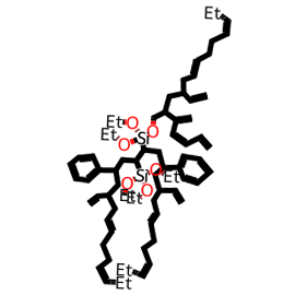 C=C/C=C\C(=C)C(CO[Si](OCC)(OCC)C(CC(CC(C=C)C/C=C/CC/C=C\CC)c1ccccc1)C(CC(CC(C=C)C/C=C/CC/C=C\CC)c1ccccc1)[Si](OCC)(OCC)OCC)CC(C=C)C/C=C/CC/C=C\CC